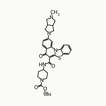 CN1CC2CN(c3ccc4c(=O)c(C(=O)NC5CCN(C(=O)OC(C)(C)C)CC5)c5sc6ccccc6n5c4c3)CC2C1